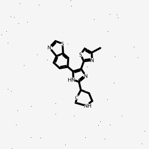 Cc1csc(-c2nc(C3CCNCC3)[nH]c2-c2ccc3ncsc3c2)n1